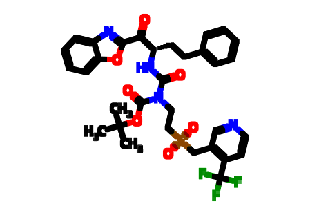 CC(C)(C)OC(=O)N(CCS(=O)(=O)Cc1cnccc1C(F)(F)F)C(=O)N[C@@H](CCc1ccccc1)C(=O)c1nc2ccccc2o1